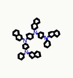 c1ccc(N(c2ccc(N(c3ccc(N(c4ccc(N(c5ccccc5)c5ccc6ccccc6c5)cc4)c4ccc5ccccc5c4)cc3)c3ccc4ccccc4c3)cc2)c2ccc3ccccc3c2)cc1